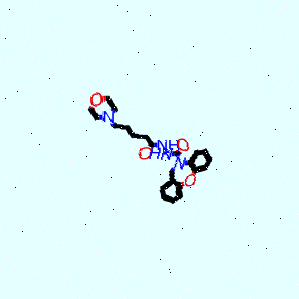 O=C(CCCCN1CCOCC1)NNC(=O)N1Cc2ccccc2Oc2ccccc21